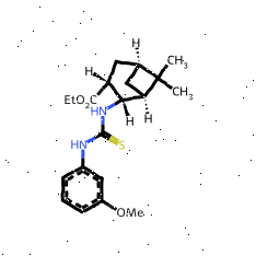 CCOC(=O)[C@@H]1C[C@@H]2C[C@H]([C@@H]1NC(=S)Nc1cccc(OC)c1)C2(C)C